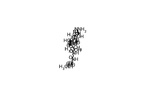 CNC(=O)CS(=O)(=O)CCNC(=O)CCNC(=O)C(O)C(C)(C)COP(=O)(O)OP(=O)(O)OCC1OC(C)(n2cnc3c(N)ncnc32)C(O)C1OP(=O)(O)O